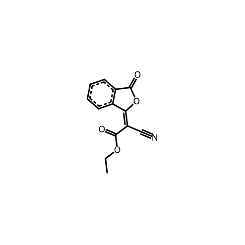 CCOC(=O)C(C#N)=C1OC(=O)c2ccccc21